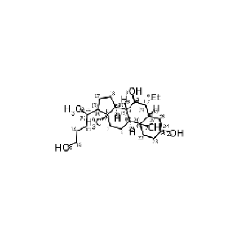 CC[C@H]1[C@H](O)[C@@H]2[C@H](CC[C@]3(C)[C@@H]([C@H](C)CCCO)CC[C@@H]23)[C@@]2(C)CC[C@H](O)C[C@@H]12